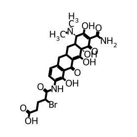 CN(C)[C@@H]1C(O)=C(C(N)=O)C(=O)[C@@]2(O)C(O)=C3C(=O)c4c(ccc(NC(=O)C(Br)CCC(=O)O)c4O)CC3CC12